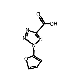 O=C(O)c1nnn(-c2ccco2)n1